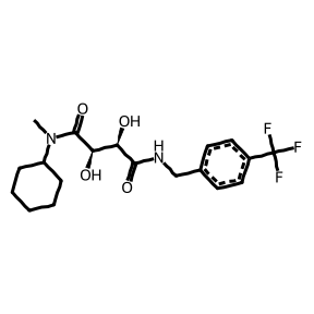 CN(C(=O)[C@H](O)[C@@H](O)C(=O)NCc1ccc(C(F)(F)F)cc1)C1CCCCC1